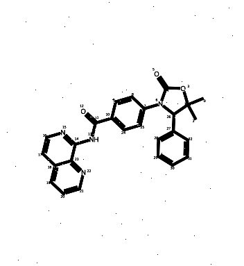 CC1(C)OC(=O)N(c2ccc(C(=O)Nc3nccc4cccnc34)cc2)C1c1ccccc1